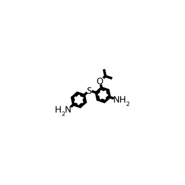 CC(C)Oc1cc(N)ccc1Sc1ccc(N)cc1